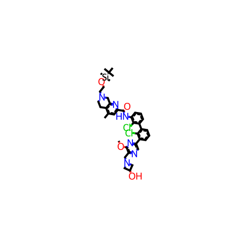 COc1nc(-c2cccc(-c3cccc(NC(=O)c4cc(C)c5c(n4)CN(CCO[Si](C)(C)C(C)(C)C)CC5)c3Cl)c2Cl)cnc1CN1CC(O)C1